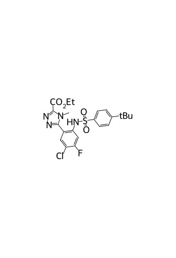 CCOC(=O)c1nnc(-c2cc(Cl)c(F)cc2NS(=O)(=O)c2ccc(C(C)(C)C)cc2)n1C